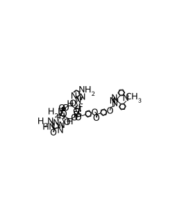 B[P@@]1(=O)OC[C@H]2O[C@@H](n3cnc4c(N)ccnc43)[C@H](F)[C@@H]2O[P@@](=O)(SCc2ccc(OC(=O)c3ccc(OCCn4nnc5c4-c4ccccc4CN(C)c4ccccc4-5)cc3)cc2)OC[C@H]2O[C@@H](n3cnc4c(=O)[nH]c(N)nc43)[C@H](F)[C@@H]2O1